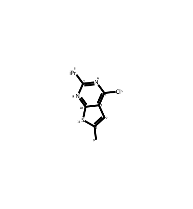 Cc1cc2c(Cl)nc(C(C)C)nc2s1